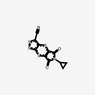 N#Cc1snc2sc3c(=O)n(C4CC4)c(=O)c=3sc12